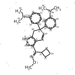 CO/N=C(/c1n[nH]c2c1C=CC(c1cccc(N(C)C)c1)(c1cccc(N(C)C)c1)C2)C1CCC1